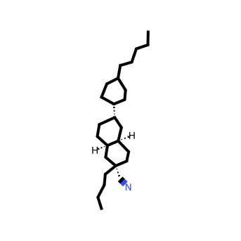 CCCCCC1CCC([C@H]2CC[C@@H]3C[C@](C#N)(CCCC)CC[C@@H]3C2)CC1